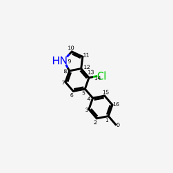 Cc1ccc(-c2ccc3[nH]ccc3c2Cl)cc1